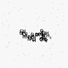 CCC(CC)(C(=O)N[C@@H](Cc1ccc(NC(=O)c2nc(NCc3ccc(OC)cc3)ncc2Cl)cc1)C(=O)O)C(=O)N1CCCC1